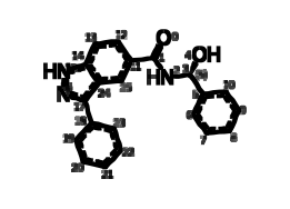 O=C(N[C@@H](O)c1ccccc1)c1ccc2[nH]nc(-c3ccccc3)c2c1